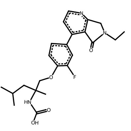 CCN1Cc2nccc(-c3ccc(OCC(C)(CC(C)C)NC(=O)O)c(F)c3)c2C1=O